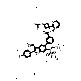 CCN(c1cc2oc(-c3ccc(F)cc3)c(C=O)c2cc1-c1cccc(C(=O)NC2(c3ncccn3)CC(OC(F)F)C2)c1)S(C)(=O)=O